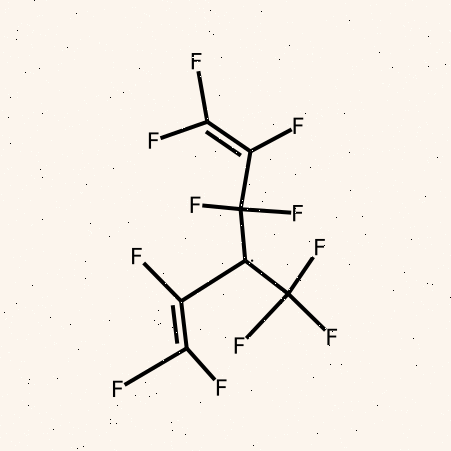 FC(F)=C(F)[C](C(F)(F)F)C(F)(F)C(F)=C(F)F